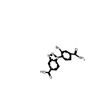 NC(=O)c1ccc(-n2nnc3cc(C(=O)O)ccc32)c(Br)c1